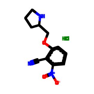 Cl.N#Cc1c(OCC2CCCN2)cccc1[N+](=O)[O-]